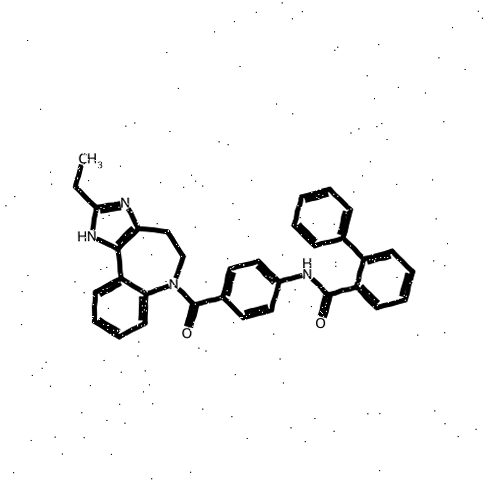 CCc1nc2c([nH]1)-c1ccccc1N(C(=O)c1ccc(NC(=O)c3ccccc3-c3ccccc3)cc1)CC2